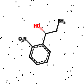 BC[C@@H](O)c1ccccc1[N+](=O)[O-]